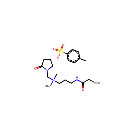 CCCCCCCCCCCC(=O)NCCC[N+](C)(CCCCCCCCCC)CN1CCCC1=O.Cc1ccc(S(=O)(=O)[O-])cc1